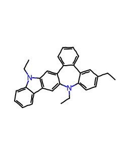 CCc1ccc2c(c1)-c1ccccc1-c1cc3c(cc1N2CC)c1ccccc1n3CC